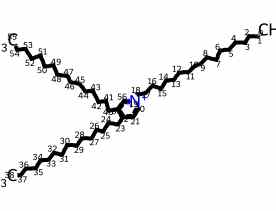 CCCCCCCCCCCCCCCCCCC[n+]1ccc(CCCCCCCCCCCCCCCC)c(CCCCCCCCCCCCCCCC)c1